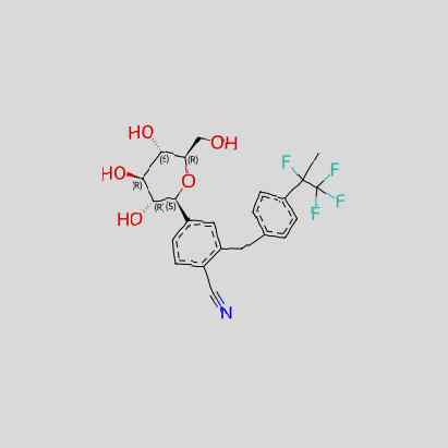 CC(F)(c1ccc(Cc2cc([C@@H]3O[C@H](CO)[C@@H](O)[C@H](O)[C@H]3O)ccc2C#N)cc1)C(F)(F)F